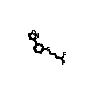 FC(F)=CCCSc1cccc(-c2ccon2)c1